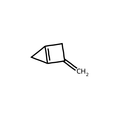 C=C1CC2=C1C2